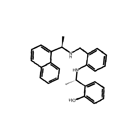 C[C@H](Nc1ccccc1CN[C@H](C)c1cccc2ccccc12)c1ccccc1O